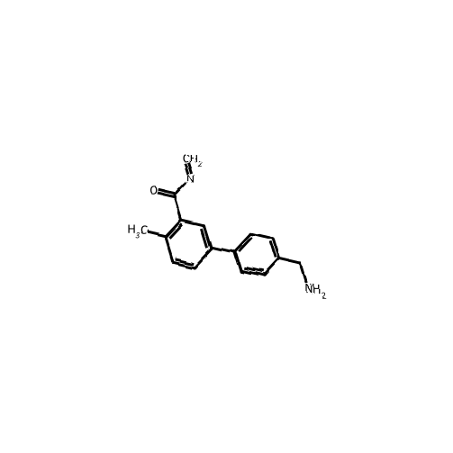 C=NC(=O)c1cc(-c2ccc(CN)cc2)ccc1C